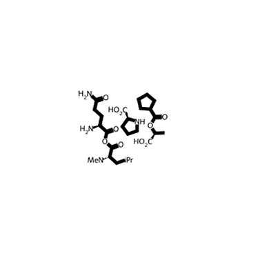 CN[C@@H](CC(C)C)C(=O)OC(=O)[C@@H](N)CCC(N)=O.C[C@H](OC(=O)C1CCCC1)C(=O)O.O=C(O)[C@@H]1CCCN1